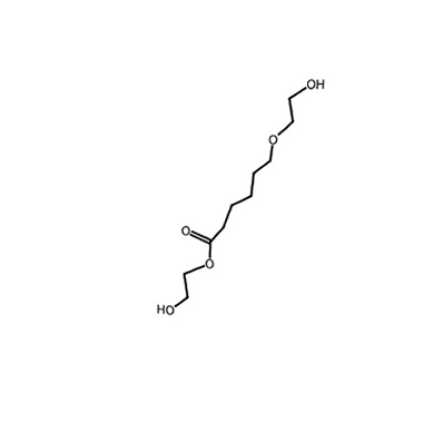 O=C(CCCCCOCCO)OCCO